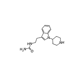 NC(=O)NCCc1cn(C2CCNCC2)c2ccccc12